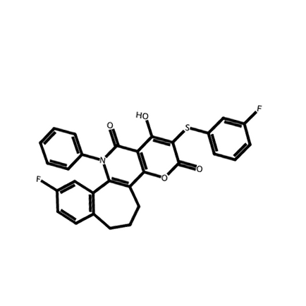 O=c1oc2c3c(n(-c4ccccc4)c(=O)c2c(O)c1Sc1cccc(F)c1)-c1cc(F)ccc1CCC3